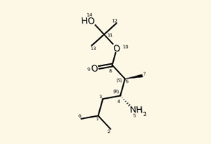 CC(C)C[C@@H](N)[C@H](C)C(=O)OC(C)(C)O